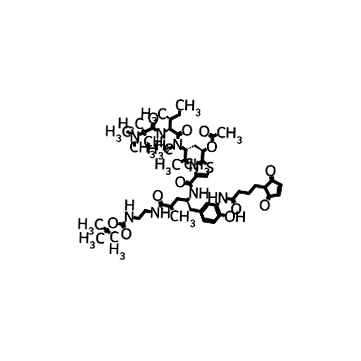 CC[C@H](C)[C@H](NC(=O)C(C)(C)N(C)C)C(=O)N(C)[C@H](C[C@@H](OC(C)=O)c1nc(C(=O)N[C@@H](Cc2ccc(O)c(NC(=O)CCCC3C(=O)C=CC3=O)c2)CC(C)C(=O)NCCNC(=O)OC(C)(C)C)cs1)C(C)C